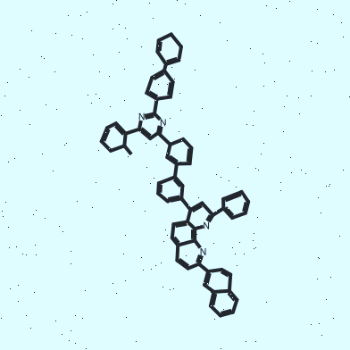 CC1CC=CC=C1c1cc(C2C=C(c3cccc(-c4cc(-c5ccccc5)nc5c4ccc4ccc(-c6ccc7ccccc7c6)nc45)c3)C=CC2)nc(-c2ccc(C3=CCCC=C3)cc2)n1